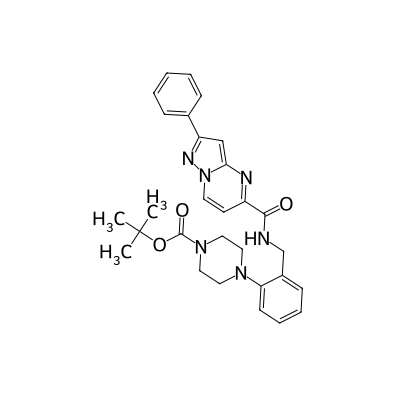 CC(C)(C)OC(=O)N1CCN(c2ccccc2CNC(=O)c2ccn3nc(-c4ccccc4)cc3n2)CC1